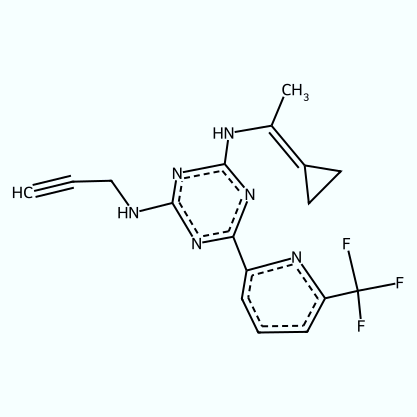 C#CCNc1nc(NC(C)=C2CC2)nc(-c2cccc(C(F)(F)F)n2)n1